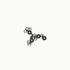 O=C(O)c1ccc(Cc2cc3cc(C(F)(F)F)ccc3n2S(=O)(=O)c2ccc(Oc3ccccc3)cc2)cc1